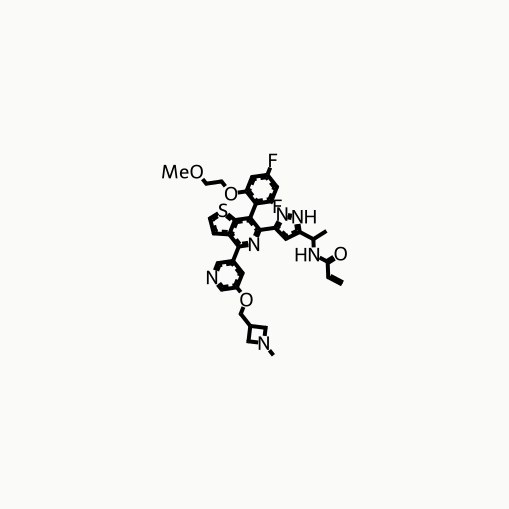 C=CC(=O)NC(C)c1cc(-c2nc(-c3cncc(OCC4CN(C)C4)c3)c3ccsc3c2-c2c(F)cc(F)cc2OCCOC)n[nH]1